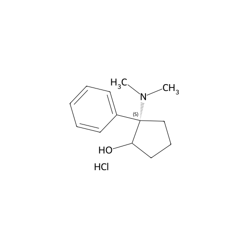 CN(C)[C@]1(c2ccccc2)CCCC1O.Cl